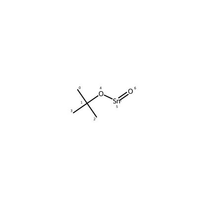 CC(C)(C)[O][Sn]=[O]